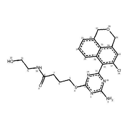 Nc1nc(SCCCC(=O)NCCO)nc(-c2c(Cl)cc3c4c(cccc24)COC3)n1